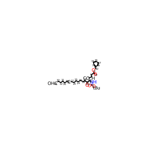 CC(C)(C)OC(=O)N[C@@H](CCCC(=O)OCc1ccccc1)C(=O)C(CCCCCCCCCCCCC=O)C(=O)O